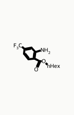 CCCCCCOC(=O)c1ccc(C(F)(F)F)cc1N